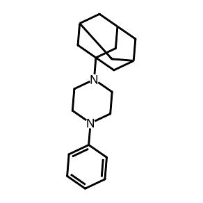 c1ccc(N2CCN(C34CC5CC(CC(C5)C3)C4)CC2)cc1